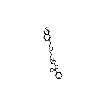 O=C(OC1CN(CCCOCCc2ccc3cscc3c2)C1)c1ccccc1